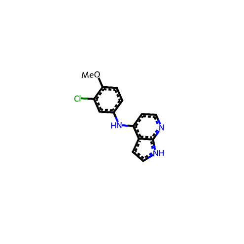 COc1ccc(Nc2ccnc3[nH]ccc23)cc1Cl